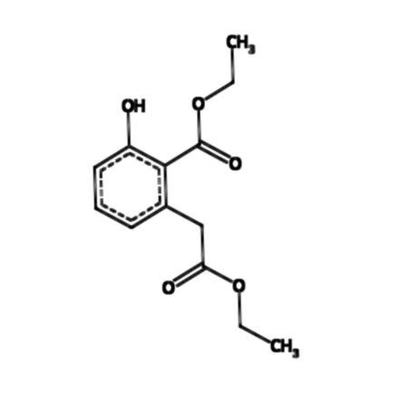 CCOC(=O)Cc1cccc(O)c1C(=O)OCC